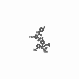 CC(C)(C)[S@@+]([O-])NC(CCC1CC1)(c1cccc(C#N)c1)c1ccc(F)c(NC(=O)[C@H]2C[C@@H](O)CN2C(=O)Nc2ccc(F)cc2)c1